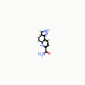 NC(=O)c1ccc2c(n1)CCc1c[nH]nc1-2